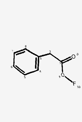 O=C(Cc1ccccc1)OF